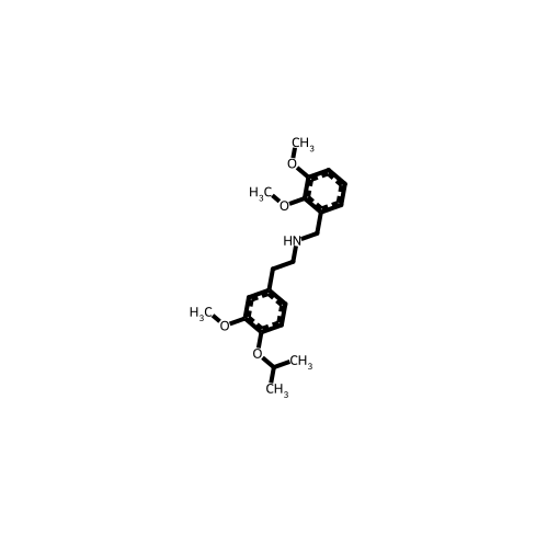 COc1cc(CCNCc2cccc(OC)c2OC)ccc1OC(C)C